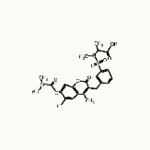 Cc1c(Cc2cccc(S(=O)(=O)N(C)C(C)C(=O)O)c2)c(=O)oc2cc(OC(=O)N(C)C)c(Cl)cc12